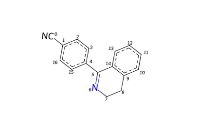 N#Cc1ccc(C2=NCCc3ccccc32)cc1